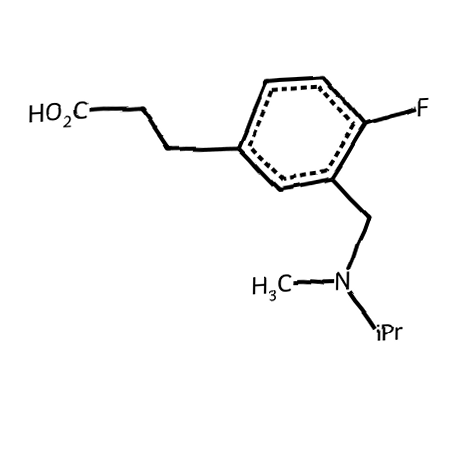 CC(C)N(C)Cc1cc(CCC(=O)O)ccc1F